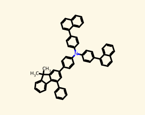 CC1(C)c2ccccc2-c2c(-c3ccccc3)cc(-c3ccc(N(c4ccc(-c5cccc6ccccc56)cc4)c4ccc(-c5cccc6ccccc56)cc4)cc3)cc21